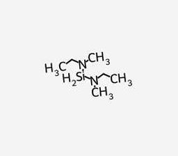 CCN(C)[SiH2]N(C)CC